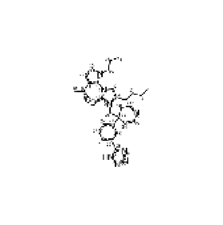 CCCCc1cn(-c2c(C(C)=O)ccn2CCC)c(=O)n1CC1(c2cccc(-c3nnn[nH]3)c2)C=CN=CC1